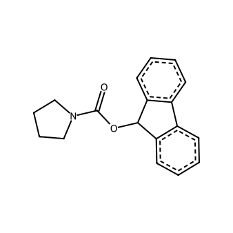 O=C(OC1c2ccccc2-c2ccccc21)N1CCCC1